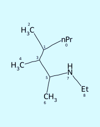 CCCC(C)C(C)C(C)NCC